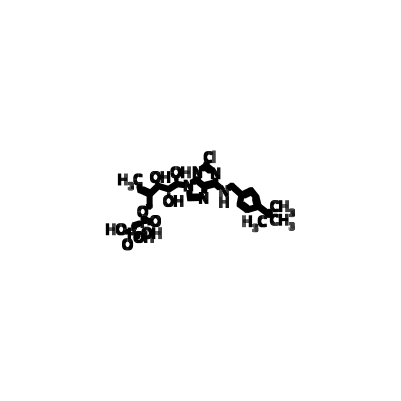 C/C=C(/COP(=O)(O)CP(=O)(O)O)[C@@H](O)[C@@H](O)[C@@H](O)n1cnc2c(NCc3ccc(C(C)(C)C)cc3)nc(Cl)nc21